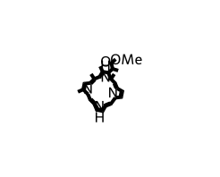 COC(=O)C(C)C1C(C)=C2NC1(C)C=C1C=CC(=N1)C=c1ccc([nH]1)=CC1=NC(=C2C)C=C1C